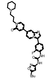 CC(C)(C)c1cc(NC(=O)Nc2ccc(-c3cnc4cc(-c5ccn(CCCN6CCCCC6)c(=O)c5)ccn34)cc2F)no1